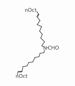 CCCCCCCCC=CCCCCCCCCN(C=O)CCCCCCCCC=CCCCCCCCC